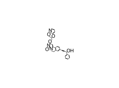 O=c1nc(OCC2COc3ncccc3O2)cc2n1CCc1cc(C#CC(O)c3ccccc3)ccc1-2